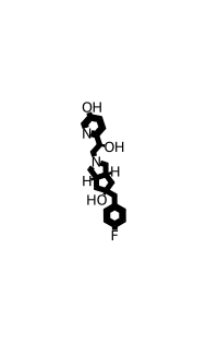 Oc1ccc([C@@H](O)CN2C[C@@H]3C[C@](O)(Cc4ccc(F)cc4)C[C@@H]3C2)nc1